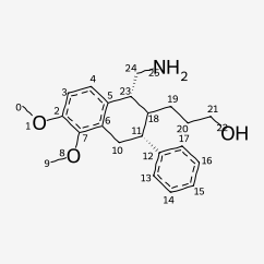 COc1ccc2c(c1OC)C[C@@H](c1ccccc1)C(CCCO)[C@H]2CN